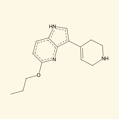 CCCOc1ccc2[nH]cc(C3=CCNCC3)c2n1